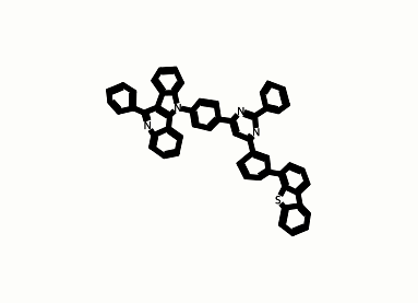 c1ccc(-c2nc(-c3ccc(-n4c5ccccc5c5c(-c6ccccc6)nc6ccccc6c54)cc3)cc(-c3cccc(-c4cccc5c4sc4ccccc45)c3)n2)cc1